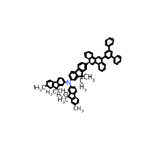 Cc1ccc2c(c1)C(C)(C)c1cc(N(c3ccc4c(c3)C(C)(C)c3cc(C)ccc3-4)c3ccc4c(c3)C(C)(C)c3cc(-c5cc6c7ccccc7c(-c7cc(-c8ccccc8)cc(-c8ccccc8)c7)cc6c6ccccc56)ccc3-4)ccc1-2